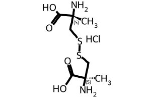 C[C@@](N)(CSSC[C@@](C)(N)C(=O)O)C(=O)O.Cl